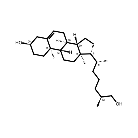 C[C@H](CO)CCC[C@@H](C)[C@H]1CC[C@H]2[C@@H]3CC=C4C[C@H](O)CC[C@]4(C)[C@H]3CC[C@]12C